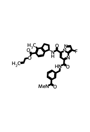 C=CCOC(=O)c1ccc2c(c1C)CC[C@@H]2NC(=O)c1cc(C(=O)NCc2cccc(C(=O)NC)c2)nc2c(F)cnn12